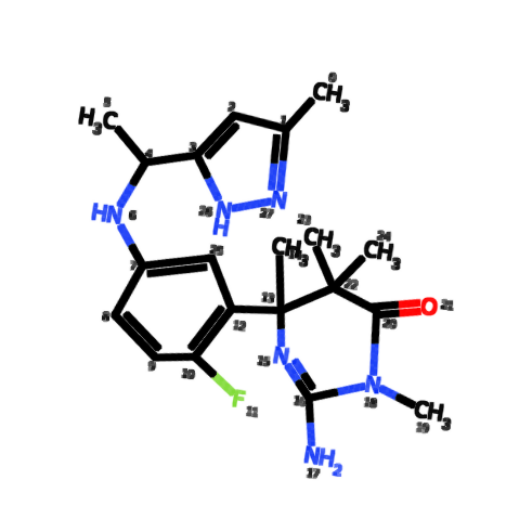 Cc1cc(C(C)Nc2ccc(F)c(C3(C)N=C(N)N(C)C(=O)C3(C)C)c2)[nH]n1